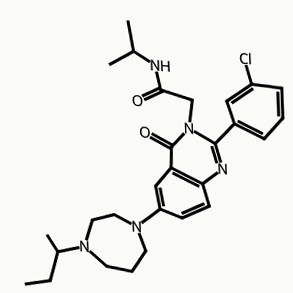 CCC(C)N1CCCN(c2ccc3nc(-c4cccc(Cl)c4)n(CC(=O)NC(C)C)c(=O)c3c2)CC1